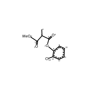 COC(=O)C(C)C(=O)Oc1ccccc1Cl